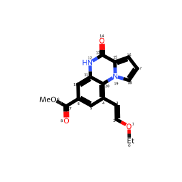 CCO/C=C/c1cc(C(=O)OC)cc2[nH]c(=O)c3cccn3c12